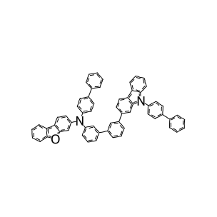 c1ccc(-c2ccc(N(c3cccc(-c4cccc(-c5ccc6c7ccccc7n(-c7ccc(-c8ccccc8)cc7)c6c5)c4)c3)c3ccc4c(c3)oc3ccccc34)cc2)cc1